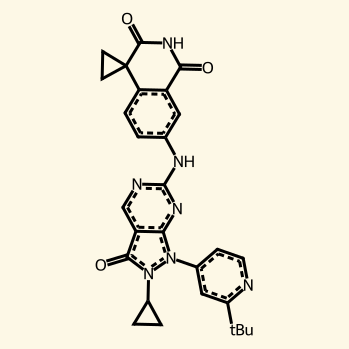 CC(C)(C)c1cc(-n2c3nc(Nc4ccc5c(c4)C(=O)NC(=O)C54CC4)ncc3c(=O)n2C2CC2)ccn1